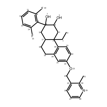 CCC12CC(O)C(O)(c3c(F)cccc3F)CC1CCc1cc(OCc3cccnc3C)ccc12